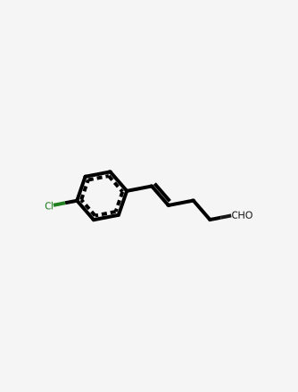 O=CCCC=Cc1ccc(Cl)cc1